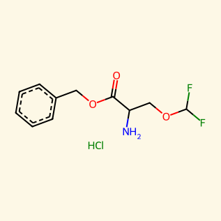 Cl.NC(COC(F)F)C(=O)OCc1ccccc1